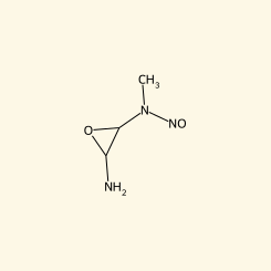 CN(N=O)C1OC1N